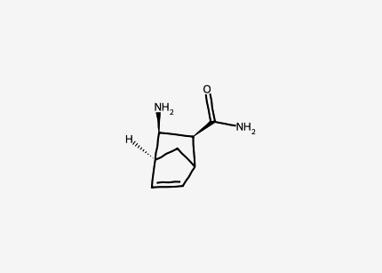 NC(=O)[C@H]1C2C=C[C@H](C2)[C@H]1N